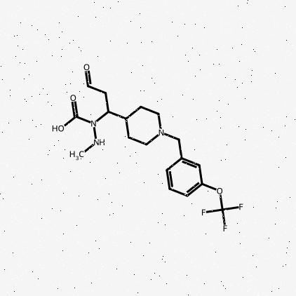 CNN(C(=O)O)C(CC=O)C1CCN(Cc2cccc(OC(F)(F)F)c2)CC1